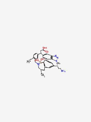 Cc1ccc(C(CC(=O)O)c2ccc3c(c2)nnn3C)cc1CN1CC(C)Cc2cc(CCCN)ccc2S1(O)O